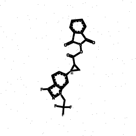 O=C(ON1C(=O)c2ccccc2C1=O)C1C[C@H]1c1ccc2c(F)nn(CC(F)(F)F)c2c1